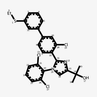 CCSc1cccc(-c2ccc(-c3nc(C(C)(C)O)cn3-c3c(Cl)cccc3Cl)c(Cl)c2)c1